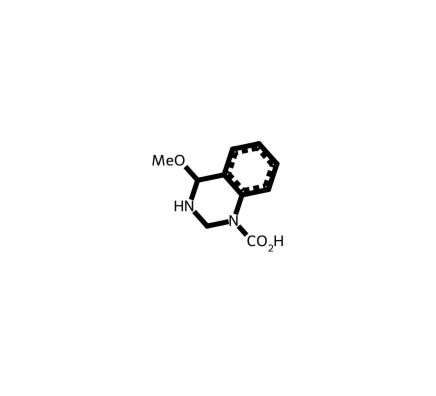 COC1NCN(C(=O)O)c2ccccc21